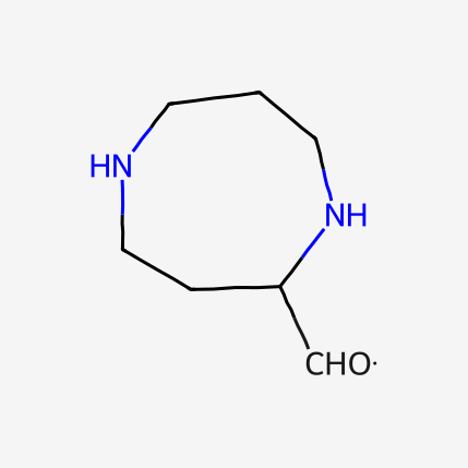 O=[C]C1CCNCCCN1